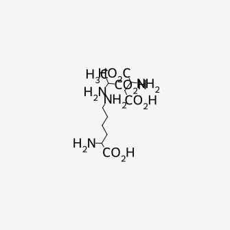 CC(N)C(=O)O.NC(CC(=O)O)C(=O)O.NCCCCC(N)C(=O)O